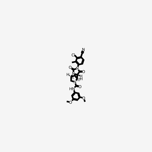 COc1cc(NC(=O)N2C[C@@H]3C[C@H]2[C@H]2C(=O)N(c4ccc(C#N)c(Cl)c4C)C(=O)N32)cc(OC)c1